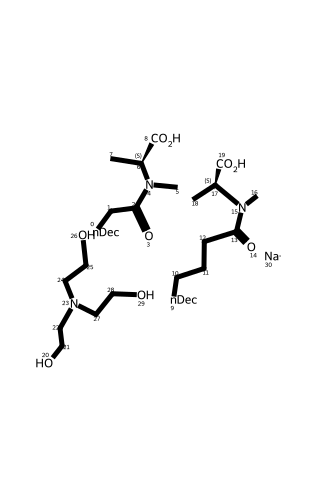 CCCCCCCCCCCC(=O)N(C)[C@@H](C)C(=O)O.CCCCCCCCCCCCCC(=O)N(C)[C@@H](C)C(=O)O.OCCN(CCO)CCO.[Na]